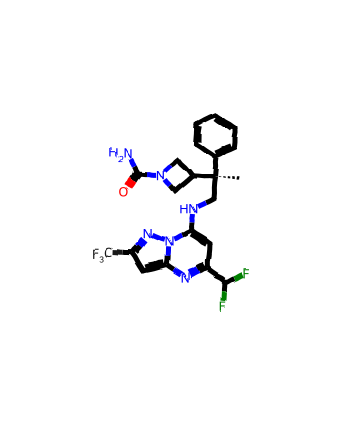 C[C@@](CNc1cc(C(F)F)nc2cc(C(F)(F)F)nn12)(c1ccccc1)C1CN(C(N)=O)C1